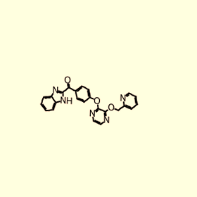 O=C(c1ccc(Oc2nccnc2OCc2ccccn2)cc1)c1nc2ccccc2[nH]1